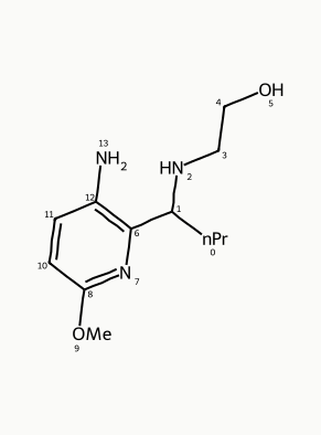 CCCC(NCCO)c1nc(OC)ccc1N